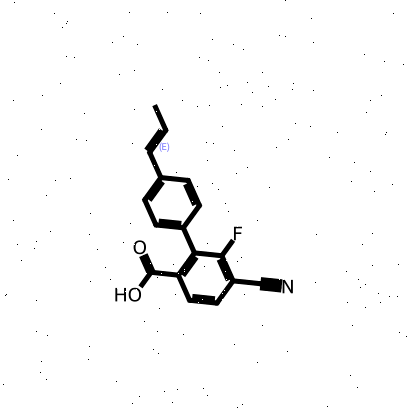 C/C=C/c1ccc(-c2c(C(=O)O)ccc(C#N)c2F)cc1